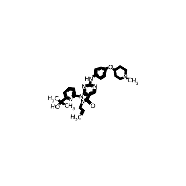 C=CCn1c(=O)c2cnc(Nc3ccc(OC4CCN(C)CC4)cc3)nc2n1-c1cccc(C(C)(C)O)n1